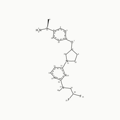 C[C@H](N)c1ccc(OC2CCN(c3ccnc(N(C)CC(F)F)n3)C2)cc1